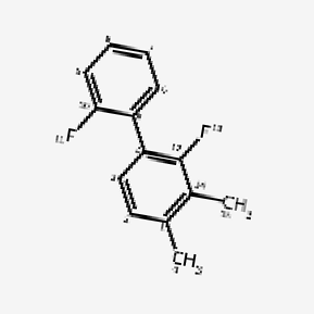 Cc1ccc(-c2ccccc2F)c(F)c1C